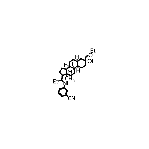 CCOC[C@@]1(O)CC[C@H]2[C@H](CC[C@@H]3[C@@H]2CC[C@]2(C)C([C@H](CC)Nc4cccc(C#N)c4)CC[C@@H]32)C1